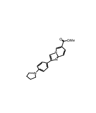 COC(=O)c1ccc2nc(-c3ccc(N4CCCC4)cc3)cn2c1